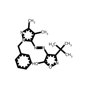 Cc1nn(Cc2ccccc2)c(N=Nc2c(C(C)(C)C)noc2O)c1C